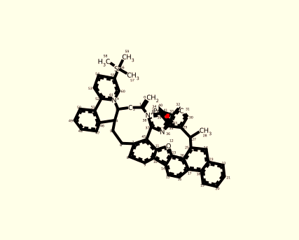 C=C1CC2C(CCc3ccc4c5oc6c4ccc4c7ccccc7cc(c46)C(C)c4cccc(C(C)C)c4-n4c([n+]1c1ccccc14)-c35)c1ccccc1-c1ccc([Si](C)(C)C)c[n+]12